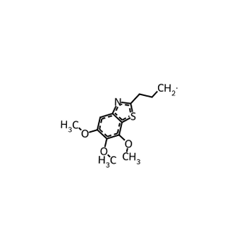 [CH2]CCc1nc2cc(OC)c(OC)c(OC)c2s1